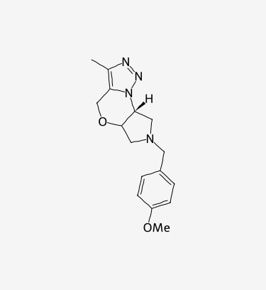 COc1ccc(CN2CC3OCc4c(C)nnn4[C@@H]3C2)cc1